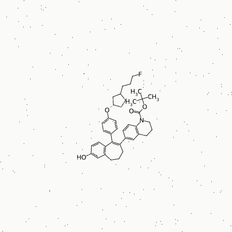 CC(C)(C)OC(=O)N1CCCc2cc(C3=C(c4ccc(O[C@H]5CCC(CCCF)C5)cc4)c4ccc(O)cc4CCC3)ccc21